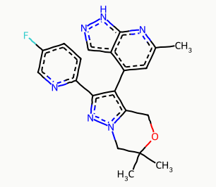 Cc1cc(-c2c(-c3ccc(F)cn3)nn3c2COC(C)(C)C3)c2cn[nH]c2n1